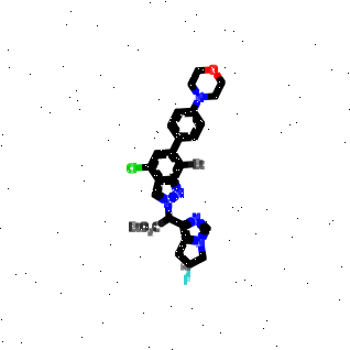 CCOC(=O)C(c1ncn2c1C[C@@H](F)C2)n1cc2c(Cl)cc(-c3ccc(N4CCOCC4)cc3)c(CC)c2n1